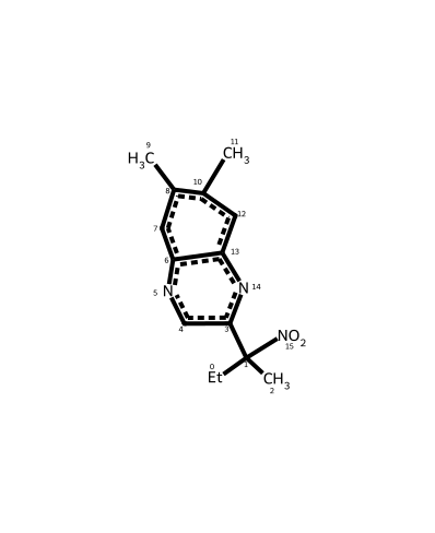 CCC(C)(c1cnc2cc(C)c(C)cc2n1)[N+](=O)[O-]